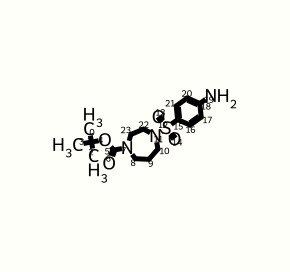 CC(C)(C)OC(=O)N1CCCN(S(=O)(=O)c2ccc(N)cc2)CC1